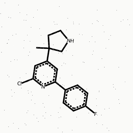 CC1(c2cc(Cl)nc(-c3ccc(F)cc3)c2)CCNC1